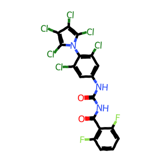 O=C(NC(=O)c1c(F)cccc1F)Nc1cc(Cl)c(-n2c(Cl)c(Cl)c(Cl)c2Cl)c(Cl)c1